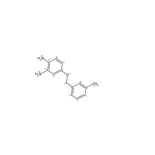 Cc1cccc(COc2ccc(N)c(N)c2)c1